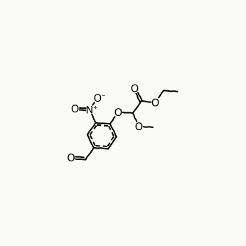 CCOC(=O)C(OC)Oc1ccc(C=O)cc1[N+](=O)[O-]